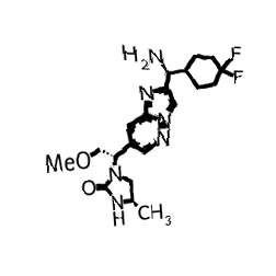 COC[C@H](c1cnn2cc([C@@H](N)C3CCC(F)(F)CC3)nc2c1)N1C[C@@H](C)NC1=O